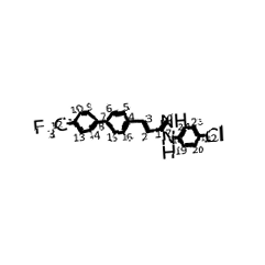 N=C(/C=C/c1ccc(-c2ccc(C(F)(F)F)cc2)cc1)Nc1ccc(Cl)cc1